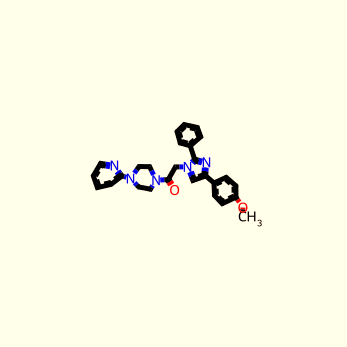 COc1ccc(-c2cn(CC(=O)N3CCN(c4ccccn4)CC3)c(-c3ccccc3)n2)cc1